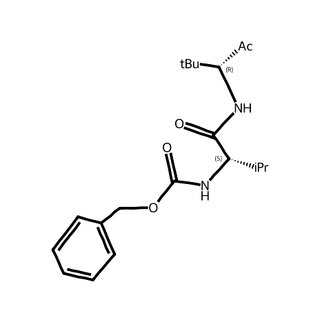 CC(=O)[C@H](NC(=O)[C@@H](NC(=O)OCc1ccccc1)C(C)C)C(C)(C)C